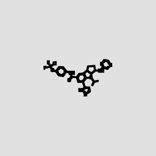 CC(C)N1c2c(-c3ccn[nH]3)cc(C(=O)Nc3ccc(OC(F)(F)Cl)cc3)cc2C2CCC(Nc3cnccn3)C21